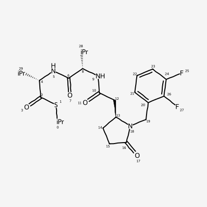 CC(C)SC(=O)[C@@H](NC(=O)[C@@H](NC(=O)C[C@@H]1CCC(=O)N1Cc1cccc(F)c1F)C(C)C)C(C)C